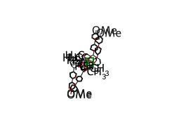 COc1ccc(-c2ccc(C3C=CC=CC4=C3C=C(C)[C]43[SiH](C)[C]4(C(C)=CC5=C4C=CC=CC5c4ccc(-c5ccc(OC)cc5)cc4)[Zr]34([Cl])([Cl])[C]3(C(C)=CC5=C3C=CC=CC5c3ccc(-c5ccc(OC)cc5)cc3)[SiH](C)[C]43C(C)=CC4=C3C=CC=CC4c3ccc(-c4ccc(OC)cc4)cc3)cc2)cc1